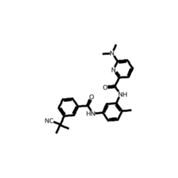 Cc1ccc(NC(=O)c2cccc(C(C)(C)C#N)c2)cc1NC(=O)c1cccc(N(C)C)n1